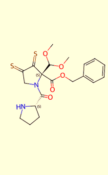 COC(OC)[C@]1(C(=O)OCc2ccccc2)C(=S)C(=S)CN1C(=O)[C@@H]1CCCN1